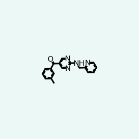 Cc1cccc(C(=O)c2cnc(NCc3ccccn3)nc2)c1